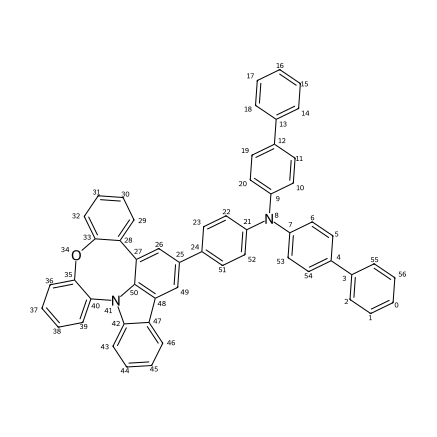 c1ccc(-c2ccc(N(c3ccc(-c4ccccc4)cc3)c3ccc(-c4cc5c6ccccc6oc6ccccc6n6c7ccccc7c(c4)c56)cc3)cc2)cc1